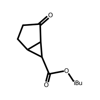 CCC(C)OC(=O)C1C2CCC(=O)C21